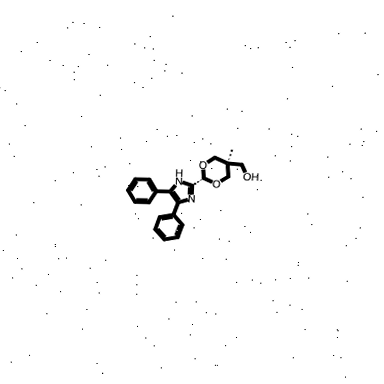 C[C@]1(CO)CO[C@H](c2nc(-c3ccccc3)c(-c3ccccc3)[nH]2)OC1